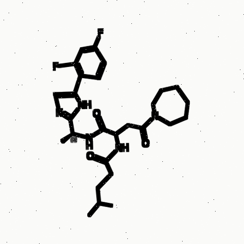 CC(C)CCC(=O)NC(CC(=O)N1CCCCCC1)C(=O)N[C@@H](C)c1ncc(-c2ccc(F)cc2F)[nH]1